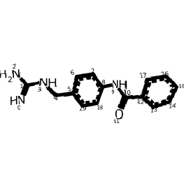 N=C(N)NCc1ccc(NC(=O)c2ccccc2)cc1